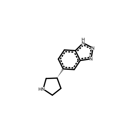 c1cc2[nH]nnc2cc1[C@@H]1CCNC1